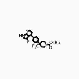 CC(C)(C)OC(=O)N1CCC(c2ccc(-c3ccnc4[nH]cc(F)c34)cc2)(C(F)(F)F)CC1